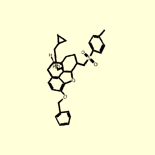 Cc1ccc(S(=O)(=O)CC2CC[C@@]3(O)[C@H]4Cc5ccc(OCc6ccccc6)c6c5[C@@]3(CCN4CC3CC3)C2O6)cc1